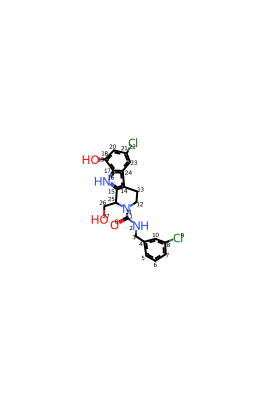 O=C(NCc1cccc(Cl)c1)N1CCc2c([nH]c3c(O)cc(Cl)cc23)C1CO